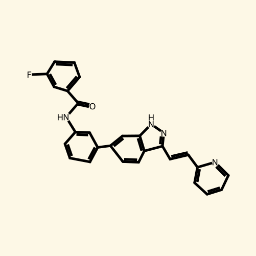 O=C(Nc1cccc(-c2ccc3c(/C=C/c4ccccn4)n[nH]c3c2)c1)c1cccc(F)c1